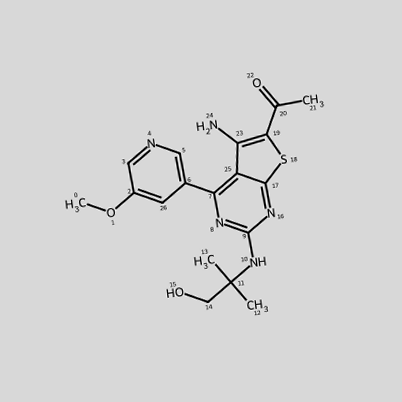 COc1cncc(-c2nc(NC(C)(C)CO)nc3sc(C(C)=O)c(N)c23)c1